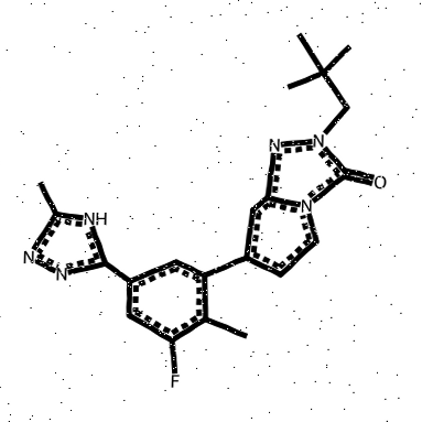 Cc1nnc(-c2cc(F)c(C)c(-c3ccn4c(=O)n(CC(C)(C)C)nc4c3)c2)[nH]1